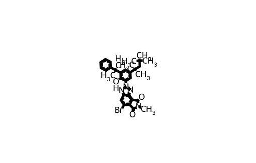 CN1C(=O)c2c(Br)cc3nn(-c4cc(C(C)(C)CC(C)(C)C)cc(C(C)(C)c5ccccc5)c4O)nc3c2C1=O